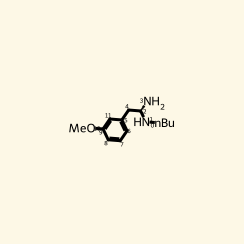 CCCCN[C@H](N)Cc1cccc(OC)c1